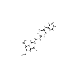 COc1cc(C=O)cc(OC)c1OCCCN1CCN(Cc2ccccc2)CC1